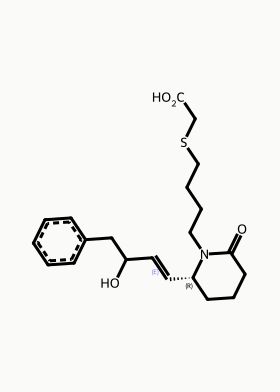 O=C(O)CSCCCCN1C(=O)CCC[C@@H]1/C=C/C(O)Cc1ccccc1